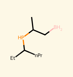 BCC(C)PC(CC)CCC